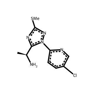 CSc1nc([C@H](C)N)n(-c2ccc(Cl)cn2)n1